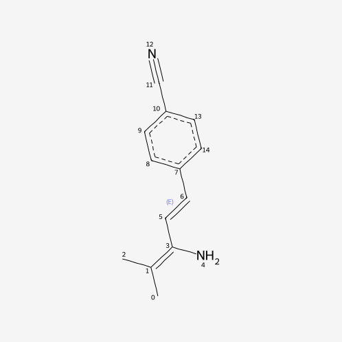 CC(C)=C(N)/C=C/c1ccc(C#N)cc1